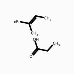 CC=C(C)CCC.CCC(=O)O